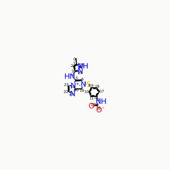 Cc1cc(NC2=CN(Sc3ccc(NC(=O)[O-])cc3)CC3=NC=C[N+]23)n[nH]1